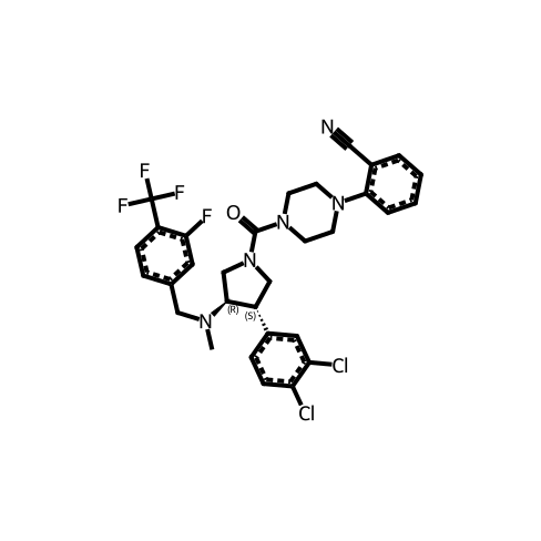 CN(Cc1ccc(C(F)(F)F)c(F)c1)[C@H]1CN(C(=O)N2CCN(c3ccccc3C#N)CC2)C[C@@H]1c1ccc(Cl)c(Cl)c1